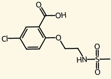 CS(=O)(=O)NCCOc1ccc(Cl)cc1C(=O)O